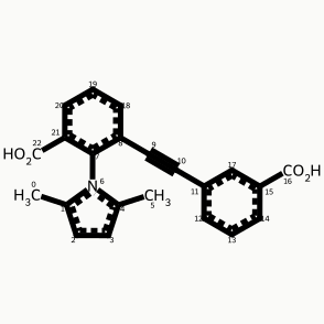 Cc1ccc(C)n1-c1c(C#Cc2cccc(C(=O)O)c2)cccc1C(=O)O